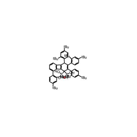 CC(C)(C)c1ccc(C2=C(c3ccc(C(C)(C)C)cc3C(C)(C)C)C(P(=O)(O)O)(P(=O)(O)O)C3=C(c4cccc(-c5ccc(C(C)(C)C)cc5C(C)(C)C)c43)C2c2ccc(C(C)(C)C)cc2C(C)(C)C)c(C(C)(C)C)c1